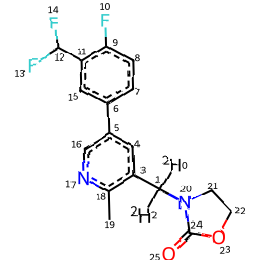 [2H]C([2H])(c1cc(-c2ccc(F)c(C(F)F)c2)cnc1C)N1CCOC1=O